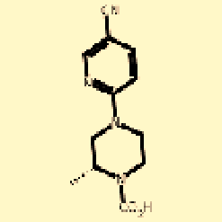 C[C@@H]1CN(c2ccc(C#N)cn2)CCN1C(=O)O